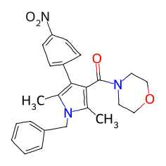 Cc1c(C(=O)N2CCOCC2)c(-c2ccc([N+](=O)[O-])cc2)c(C)n1Cc1ccccc1